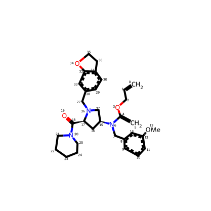 C=CCOC(=C)N(Cc1cccc(OC)c1)[C@H]1C[C@@H](C(=O)N2CCCCC2)N(Cc2ccc3c(c2)OCC3)C1